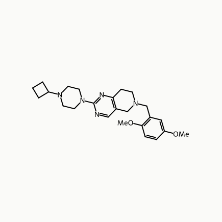 COc1ccc(OC)c(CN2CCc3nc(N4CCN(C5CCC5)CC4)ncc3C2)c1